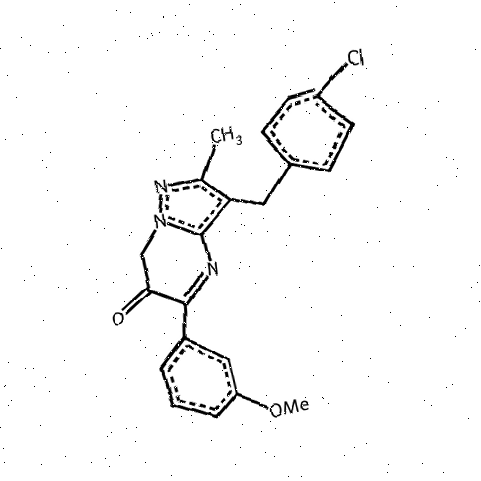 COc1cccc(C2=Nc3c(Cc4ccc(Cl)cc4)c(C)nn3CC2=O)c1